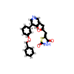 O=C1NC(=O)C(=Cc2cc3cncc(-c4cccc(OCc5ccccc5)c4)c3o2)S1